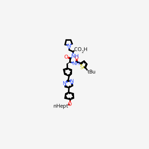 CCCCCCCOc1ccc(-c2cnc(-c3ccc(C[C@H](NC(=O)c4ccc(C(C)(C)C)s4)C(=O)NC(CN4CCCC4)C(=O)O)cc3)nc2)cc1